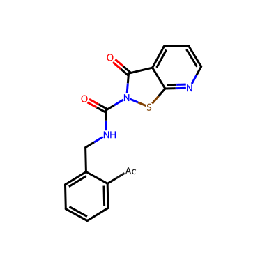 CC(=O)c1ccccc1CNC(=O)n1sc2ncccc2c1=O